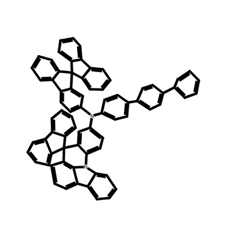 c1ccc(-c2ccc(-c3ccc(N(c4ccc5c(c4)C4(c6ccccc6-c6ccccc64)c4ccccc4-5)c4ccc5c(c4)C4(c6ccccc6-c6ccccc64)c4cccc6c7ccccc7n-5c46)cc3)cc2)cc1